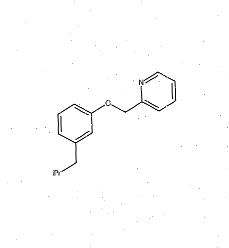 CC(C)Cc1cccc(OCc2ccccn2)c1